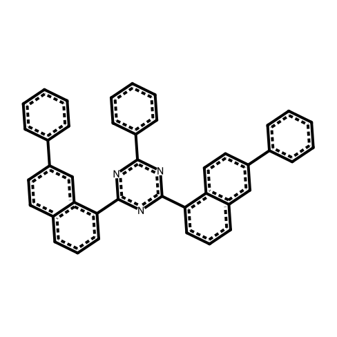 c1ccc(-c2ccc3c(-c4nc(-c5ccccc5)nc(-c5cccc6ccc(-c7ccccc7)cc56)n4)cccc3c2)cc1